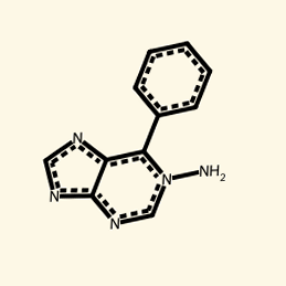 Nn1cnc2ncnc-2c1-c1ccccc1